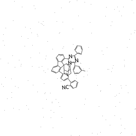 Cc1cccc(-c2nc(-c3ccccc3)nc(-c3cccc4c3C3(c5c(-c6ccc(-c7ccccc7C#N)cc6)cccc5-4)C4CC5CC(C4)CC3C5)n2)c1